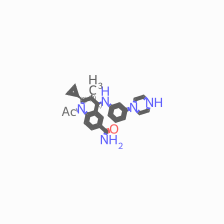 CC(=O)N1c2ccc(C(N)=O)cc2[C@H](Nc2cccc(N3CCNCC3)c2)[C@@H](C)[C@@H]1C1CC1